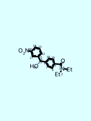 CCN(CC)C(=O)c1ccc([C@H](O)c2cccc([N+](=O)[O-])c2)cc1